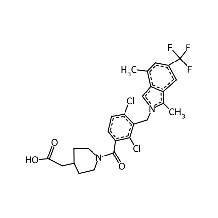 Cc1cc(C(F)(F)F)cc2c(C)n(Cc3c(Cl)ccc(C(=O)N4CCC(CC(=O)O)CC4)c3Cl)cc12